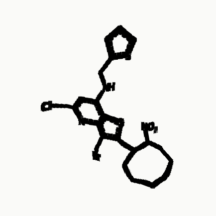 O=[N+]([O-])C1CCCCCCC1c1sc2c(NCc3cccs3)cc(Cl)nc2c1Br